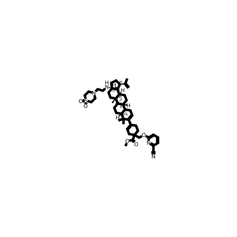 C=C(C)[C@@H]1CC[C@]2(NCCN3CCS(=O)(=O)CC3)CC[C@]3(C)[C@H](CC[C@@H]4[C@@]5(C)CC=C(C6=CCC(COc7cccc(C#N)n7)(C(=O)OC)CC6)C(C)(C)[C@@H]5CC[C@]43C)[C@@H]12